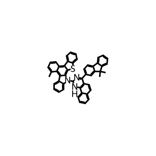 Cc1cccc2c1c1c3ccccc3n(C3N=C(c4ccc5c(c4)C(C)(C)c4ccccc4-5)c4ccc5ccccc5c4N3)c1c1sc3ccccc3c21